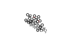 CC(C)(C)c1ccccc1-c1cc2c(c3c1oc1ccccc13)-c1ccc(N(c3ccc4c(c3)C(C)(C)c3c5c(c6c(oc7ccccc76)c3-4)-c3ccccc3C5(C)C)c3c(-c4ccccc4)cccc3-c3ccccc3)cc1C2(C)C